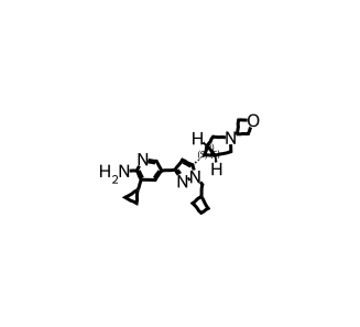 Nc1ncc(-c2cc([C@@H]3[C@@H]4CN(C5COC5)C[C@@H]43)n(CC3CCC3)n2)cc1C1CC1